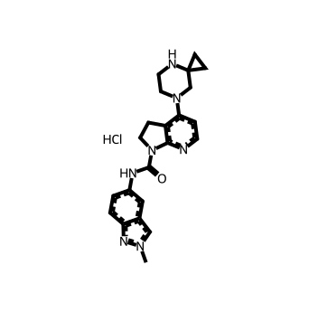 Cl.Cn1cc2cc(NC(=O)N3CCc4c(N5CCNC6(CC6)C5)ccnc43)ccc2n1